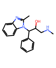 CNCC(O)C(c1ccccc1)n1c(C)nc2ccccc21